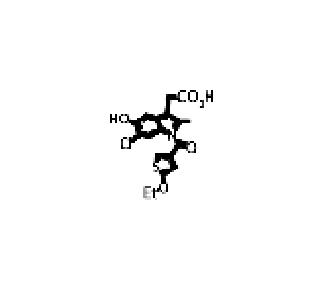 CCOc1cc(C(=O)n2c(C)c(CC(=O)O)c3cc(O)c(Cl)cc32)cs1